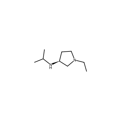 CCN1CC[C@H](NC(C)C)C1